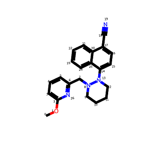 COc1cccc(CN2CCCCN2c2ccc(C#N)c3ccccc23)n1